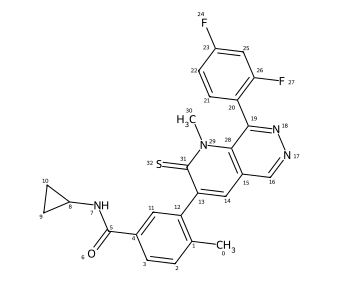 Cc1ccc(C(=O)NC2CC2)cc1-c1cc2cnnc(-c3ccc(F)cc3F)c2n(C)c1=S